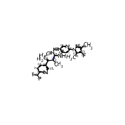 C=C(/C(C)=C(/Nc1cc(-n2nc(C)c(F)c2C)ncn1)N(C)N)c1ccc(C(F)F)nc1